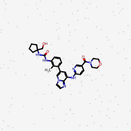 Cc1c(NC(=O)NC2(CO)CCCC2)cccc1-c1cc(Nc2ccc(C(=O)N3CCOCC3)cn2)c2nccn2c1